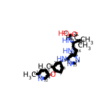 Cc1ccc(Oc2ccc(Nc3ncnc4cc(C(NC(=O)O)C(C)(C)C)[nH]c34)cc2C)cn1